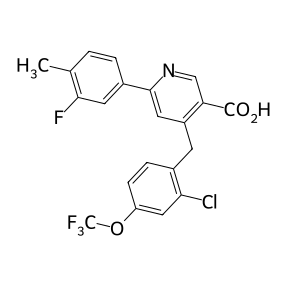 Cc1ccc(-c2cc(Cc3ccc(OC(F)(F)F)cc3Cl)c(C(=O)O)cn2)cc1F